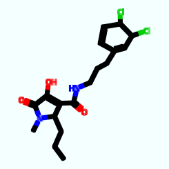 CCCC1C(C(=O)NCCCC2=CC(Cl)C(Cl)C=C2)=C(O)C(=O)N1C